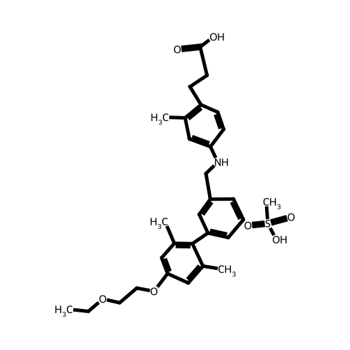 CCOCCOc1cc(C)c(-c2cccc(CNc3ccc(CCC(=O)O)c(C)c3)c2)c(C)c1.CS(=O)(=O)O